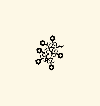 CCCCO[C@@H]1OC(COC(=O)c2ccccc2)[C@@H](O[C@@H]2OC3COC(c4ccccc4)O[C@@H]3C(OC(=O)c3ccccc3)C2OC(=O)c2ccccc2)C(OC(=O)c2ccccc2)C1OC(=O)c1ccccc1